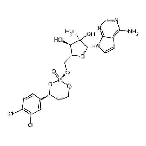 C[C@@]1(O)[C@H](O)[C@@H](CO[P@@]2(=O)OCC[C@@H](c3ccc(Cl)c(Cl)c3)O2)O[C@H]1n1ccc2c(N)ncnc21